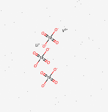 O=[Te](=O)([O-])[O-].O=[Te](=O)([O-])[O-].O=[Te](=O)([O-])[O-].[Li+].[V+5]